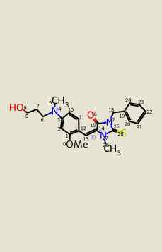 COc1cc(N(C)CCCO)ccc1/C=C1\C(=O)N(Cc2ccccc2)C(=S)N1C